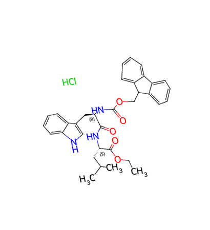 CCOC(=O)[C@H](CC(C)C)NC(=O)[C@@H](Cc1c[nH]c2ccccc12)NC(=O)OCC1c2ccccc2-c2ccccc21.Cl